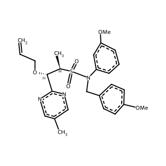 C=CCO[C@@H](c1ncc(C)cn1)[C@@H](C)S(=O)(=O)N(Cc1ccc(OC)cc1)c1cccc(OC)c1